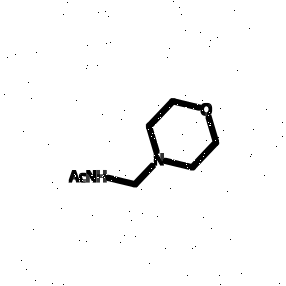 CC(=O)NCN1CCOCC1